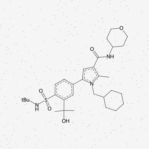 Cc1c(C(=O)NC2CCOCC2)cc(-c2ccc(S(=O)(=O)NC(C)(C)C)c(C(C)(C)O)c2)n1CC1CCCCC1